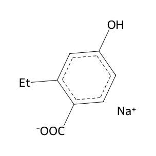 CCc1cc(O)ccc1C(=O)[O-].[Na+]